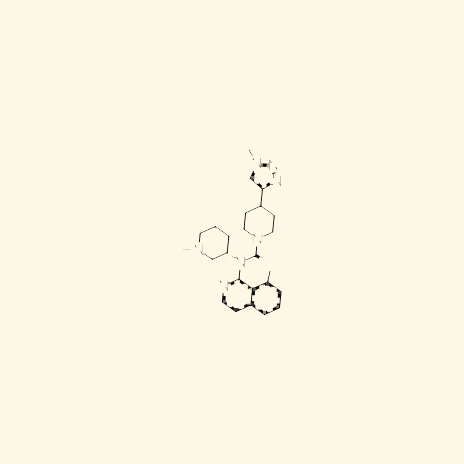 Cc1cccc2ccnc(N(C(=O)N3CCC(c4cn(C)nn4)CC3)[C@@H]3CCCNC3)c12